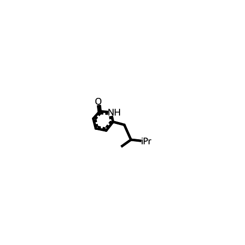 CC(C)C(C)Cc1cccc(=O)[nH]1